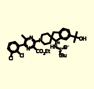 CCOC(=O)c1nc(-c2cccc(Cl)c2Cl)c(C)nc1N1CCC2(CC1)Cc1ccc(C(C)(C)O)cc1[C@H]2N[S+]([O-])C(C)(C)C